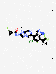 CC(=C(F)F)c1c(F)c(Cl)c(-c2cn3cc(NC(=O)[C@@H]4C[C@@H]4F)nc3cn2)c2cn[nH]c12